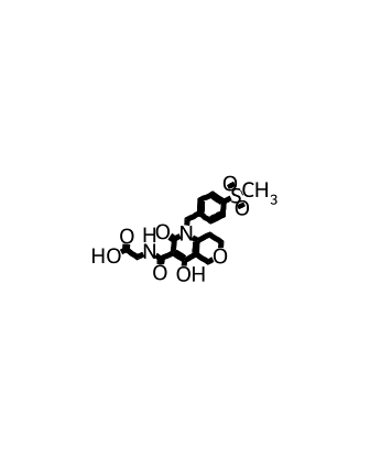 CS(=O)(=O)c1ccc(Cn2c3c(c(O)c(C(=O)NCC(=O)O)c2=O)COCC3)cc1